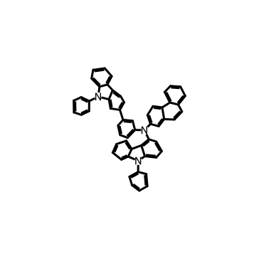 c1ccc(-n2c3ccccc3c3ccc(-c4cccc(N(c5ccc6c(ccc7ccccc76)c5)c5cccc6c5c5ccccc5n6-c5ccccc5)c4)cc32)cc1